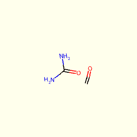 C=O.NC(N)=O